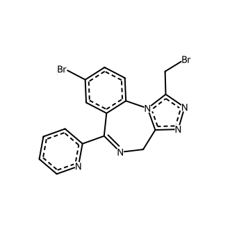 BrCc1nnc2n1-c1ccc(Br)cc1C(c1ccccn1)=NC2